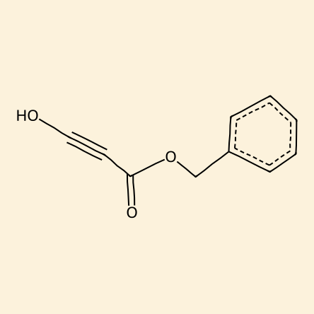 O=C(C#CO)OCc1ccccc1